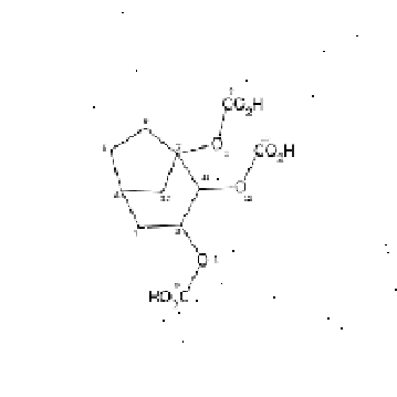 O=C(O)OC1CC2CCC(OC(=O)O)(C2)C1OC(=O)O